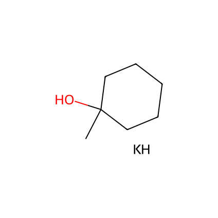 CC1(O)CCCCC1.[KH]